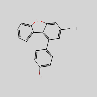 Cc1cc(-c2ccc(Br)cc2)c2c(c1)oc1ccccc12